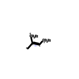 CCOC(=O)/C=C(/C)C(=O)OCC